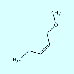 [CH2]OC/C=C\CC